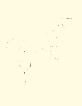 CNC(=O)OC1CC2(C1)C(=O)N(Cc1ncc3ccccc3c1-c1ccc(C#N)nc1)c1ccccc12